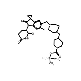 CC(C)(C)OC(=O)N1CCC(CN2CCN(Cc3cc4c(cc3F)N(C3CCC(=O)NC3=O)C(=O)C43CC3)CC2)CC1